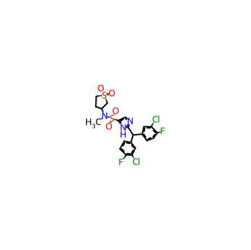 CN(C1CCS(=O)(=O)C1)S(=O)(=O)c1cnc(C(c2ccc(F)c(Cl)c2)c2ccc(F)c(Cl)c2)[nH]1